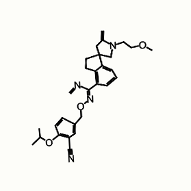 C=N/C(=N\OCc1ccc(OC(C)C)c(C#N)c1)c1cccc2c1CCC21CC(=C)N(CCOC)C1